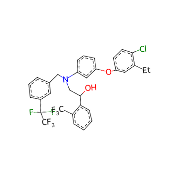 CCc1cc(Oc2cccc(N(Cc3cccc(C(F)(F)C(F)(F)F)c3)CC(O)c3ccccc3C(F)(F)F)c2)ccc1Cl